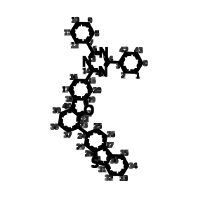 c1ccc(-c2nc(-c3ccccc3)nc(-c3ccc4c(c3)oc3c(-c5ccc6c(c5)sc5ccccc56)cccc34)n2)cc1